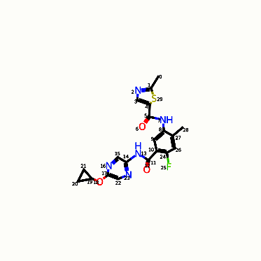 Cc1ncc(C(=O)Nc2cc(C(=O)Nc3cnc(OC4CC4)cn3)c(F)cc2C)s1